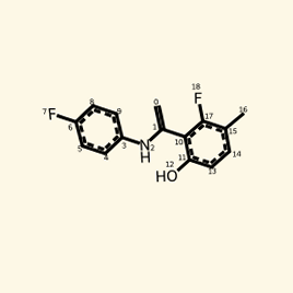 C=C(Nc1ccc(F)cc1)c1c(O)ccc(C)c1F